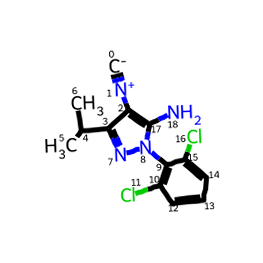 [C-]#[N+]c1c(C(C)C)nn(-c2c(Cl)cccc2Cl)c1N